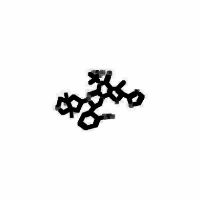 COc1ccccc1C(Cn1c(=O)n(C(C)(C)C(=O)O)c(=O)c2c(C)c(-c3ncco3)sc21)OC1C[C@]2(C)COC[C@]2(C)C1